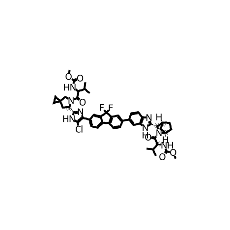 COC(=O)NC(C(=O)N1CC2(CC2)C[C@H]1c1nc(-c2ccc3c(c2)C(F)(F)c2cc(-c4ccc5nc([C@@H]6[C@H]7CC[C@H](C7)N6C(=O)[C@@H](NC(=O)OC)C(C)C)[nH]c5c4)ccc2-3)c(Cl)[nH]1)C(C)C